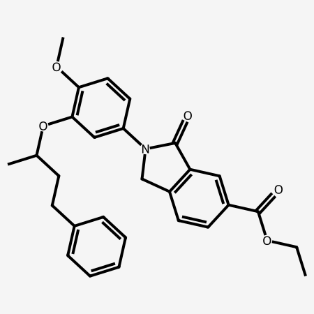 CCOC(=O)c1ccc2c(c1)C(=O)N(c1ccc(OC)c(OC(C)CCc3ccccc3)c1)C2